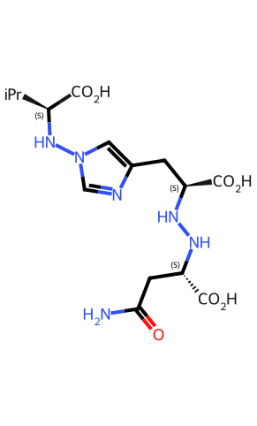 CC(C)[C@H](Nn1cnc(C[C@H](NN[C@@H](CC(N)=O)C(=O)O)C(=O)O)c1)C(=O)O